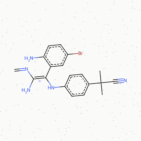 C=N/C(N)=C(/Nc1ccc(C(C)(C)C#N)cc1)c1cc(Br)ccc1N